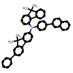 CC1(C)c2cc(-c3ccccc3)ccc2-c2ccc(N(c3ccc(-c4ccc5ccccc5c4)cc3)c3cccc4c3-c3ccccc3C4(C)C)cc21